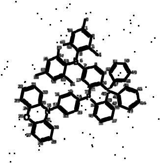 Cc1cc(C)c(B(c2ccc3c(c2)P(c2ccc(N4c5ccccc5Oc5ccccc54)cc2)c2ccccc2S3(c2ccccc2)c2ccccc2)c2c(C)cc(C)cc2C)c(C)c1